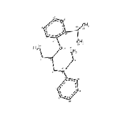 CCC(CN(CC)c1ccccc1)Oc1ccccc1C(C)C